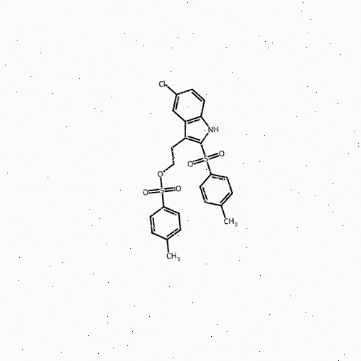 Cc1ccc(S(=O)(=O)OCCc2c(S(=O)(=O)c3ccc(C)cc3)[nH]c3ccc(Cl)cc23)cc1